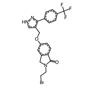 O=C1c2ccc(OCc3c[nH]nc3-c3ccc(C(F)(F)F)cc3)cc2CN1CCBr